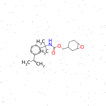 C=C(C)c1cccc(C(C)(C)NC(=O)OCC2CCC3OC3C2)c1